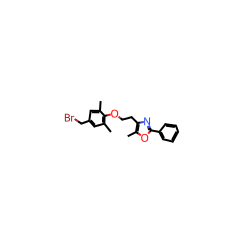 Cc1cc(CBr)cc(C)c1OCCc1nc(-c2ccccc2)oc1C